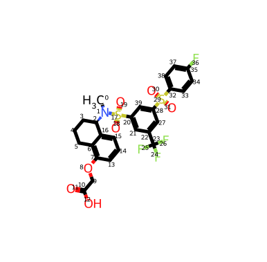 CN([C@@H]1CCCc2c(OCC(=O)O)cccc21)S(=O)(=O)c1cc(C(F)(F)F)cc(S(=O)(=O)c2ccc(F)cc2)c1